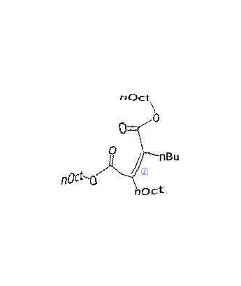 CCCCCCCCOC(=O)/C(CCCC)=C(/CCCCCCCC)C(=O)OCCCCCCCC